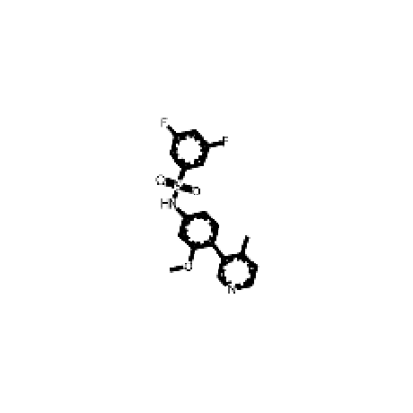 COc1cc(NS(=O)(=O)c2cc(F)cc(F)c2)ccc1-c1cnccc1C